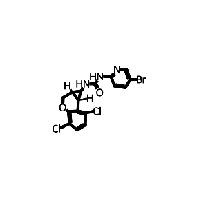 O=C(Nc1ccc(Br)cn1)NC1[C@H]2COc3c(Cl)ccc(Cl)c3[C@@H]12